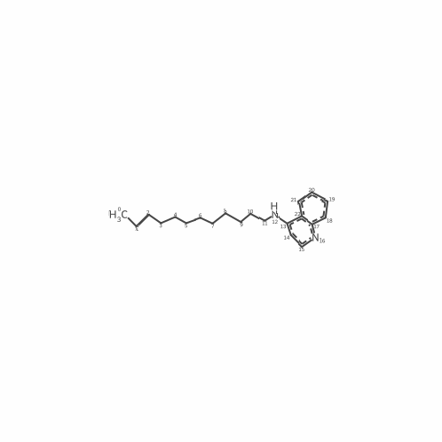 CCCCCCCCCCCCNc1ccnc2ccccc12